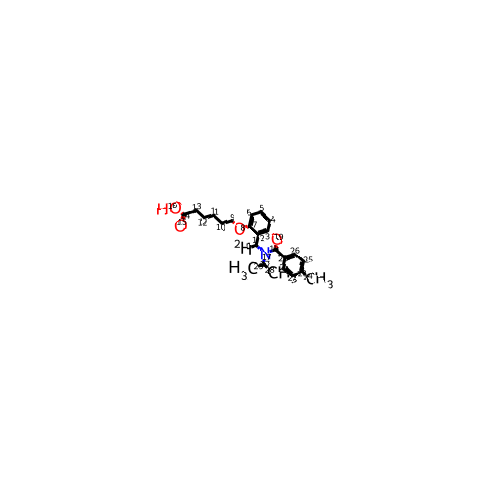 [2H]C(c1ccccc1OCCCCCC(=O)O)N(C(=O)c1ccc(C)cc1)C(C)C